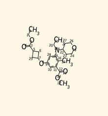 CCOC(=O)C1CC(Oc2cc(C(=O)OC)c(C)c(N(CC)C3CCOCC3)c2)C1